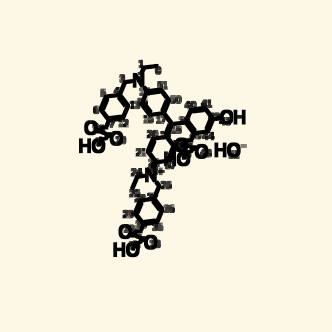 CCN(Cc1ccc(S(=O)(=O)O)cc1)c1ccc(C(=C2C=CC(=[N+](CC)Cc3ccc(S(=O)(=O)O)cc3)C=C2)c2ccc(O)cc2S(=O)(=O)O)cc1.[OH-]